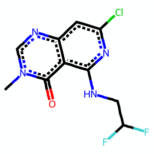 Cn1cnc2cc(Cl)nc(NCC(F)F)c2c1=O